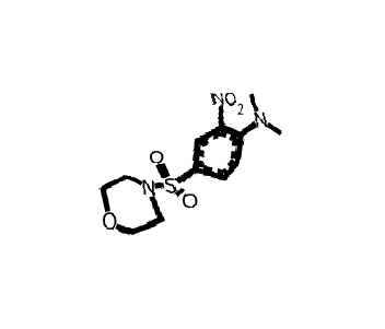 CN(C)c1ccc(S(=O)(=O)N2CCOCC2)cc1[N+](=O)[O-]